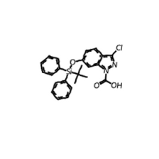 CC(C)(C)[Si](Oc1ccc2c(Cl)nn(C(=O)O)c2c1)(c1ccccc1)c1ccccc1